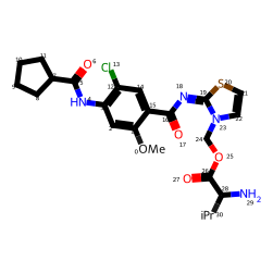 COc1cc(NC(=O)C2CCCC2)c(Cl)cc1C(=O)N=c1sccn1COC(=O)C(N)C(C)C